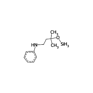 CC(C)(CCNc1ccccc1)O[SiH3]